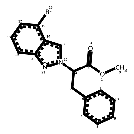 COC(=O)C(Cc1ccccc1)n1cc2c(Br)cccc2n1